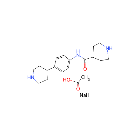 CC(=O)O.O=C(Nc1ccc(C2CCNCC2)cc1)C1CCNCC1.[NaH]